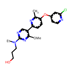 CCN(CCCO)c1ncc(-c2ccc(Oc3ccnc(Cl)c3)c(C)n2)c(OC)n1